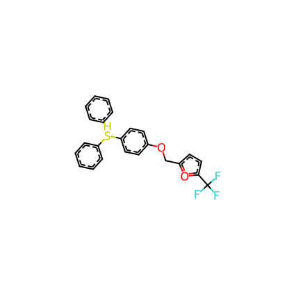 FC(F)(F)c1ccc(COc2ccc([SH](c3ccccc3)c3ccccc3)cc2)o1